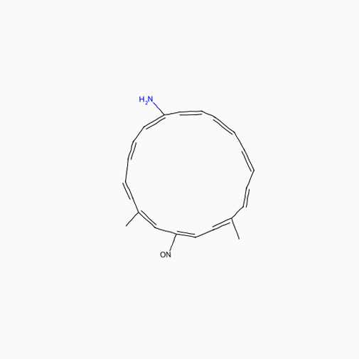 CC1=C/C=C(N=O)\C=C(C)/C=C\C=C/C=C(N)\C=C/C=C\C=C/C=C\1